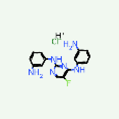 Nc1cccc(Nc2ncc(F)c(Nc3cccc(N)c3)n2)c1.[Cl-].[H+]